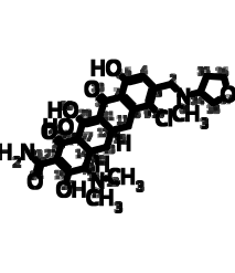 CN(Cc1cc(O)c2c(c1Cl)C[C@H]1C[C@H]3[C@H](N(C)C)C(O)=C(C(N)=O)C(=O)[C@@]3(O)C(O)=C1C2=O)C1CCOC1